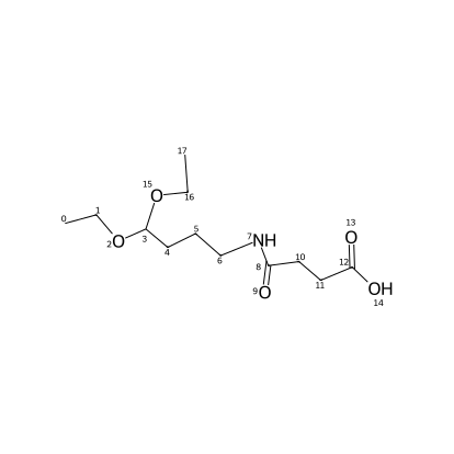 CCOC(CCCNC(=O)CCC(=O)O)OCC